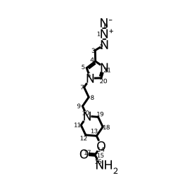 [N-]=[N+]=NCc1cn(CCCN2CCC(OC(N)=O)CC2)cn1